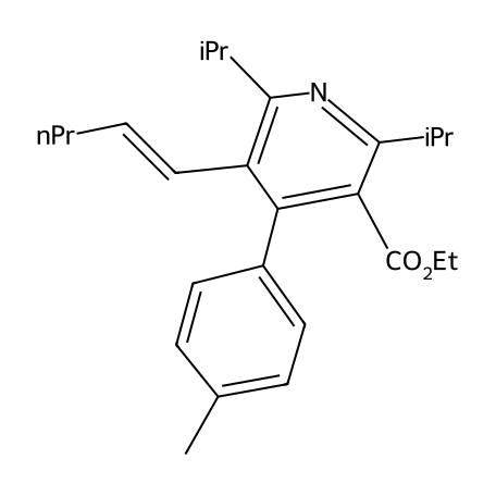 CCCC=Cc1c(C(C)C)nc(C(C)C)c(C(=O)OCC)c1-c1ccc(C)cc1